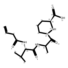 C=CCC(=O)N[C@H](C(=O)NC(C)C(=O)N1CCC[C@@H](C(=O)O)N1)C(C)C